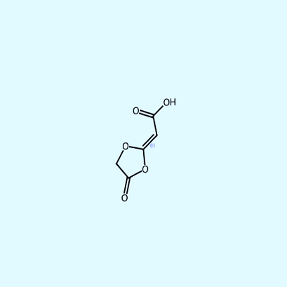 O=C(O)/C=C1\OCC(=O)O1